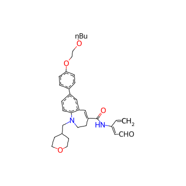 C=C/C(=C\C=O)NC(=O)C1=Cc2cc(-c3ccc(OCCOCCCC)cc3)ccc2N(CC2CCOCC2)CC1